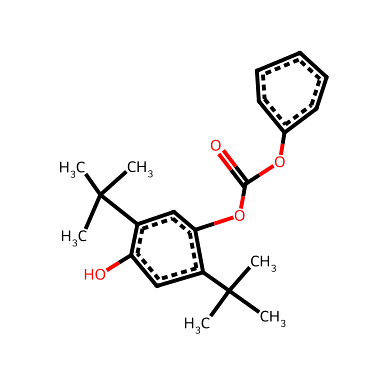 CC(C)(C)c1cc(OC(=O)Oc2ccccc2)c(C(C)(C)C)cc1O